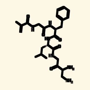 C=C(C)C(=O)NCC(=O)N[C@@H](Cc1ccccc1)C(=O)N[C@@H](CC(C)C)C(=O)NCC(=O)C(N)CN